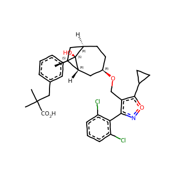 C[C@H]1C[C@H]2CC[C@@H](OCc3c(-c4c(Cl)cccc4Cl)noc3C3CC3)C[C@H]1[C@]2(O)c1cccc(CC(C)(C)C(=O)O)c1